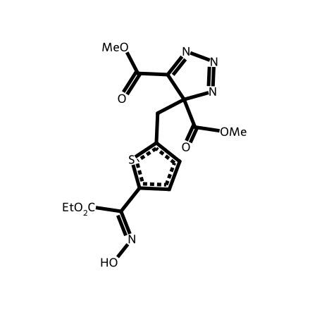 CCOC(=O)C(=NO)c1ccc(CC2(C(=O)OC)N=NN=C2C(=O)OC)s1